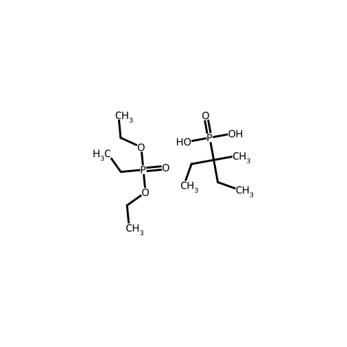 CCC(C)(CC)P(=O)(O)O.CCOP(=O)(CC)OCC